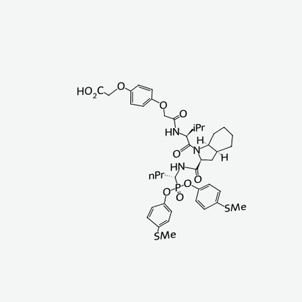 CCC[C@H](NC(=O)[C@@H]1C[C@@H]2CCCC[C@@H]2N1C(=O)[C@@H](NC(=O)COc1ccc(OCC(=O)O)cc1)C(C)C)P(=O)(Oc1ccc(SC)cc1)Oc1ccc(SC)cc1